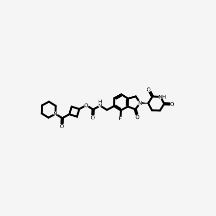 O=C1CC[C@@H](N2Cc3ccc(CNC(=O)OC4CC(C(=O)N5CCCCC5)C4)c(F)c3C2=O)C(=O)N1